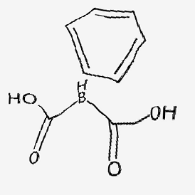 O=C(O)BC(=O)O.c1ccccc1